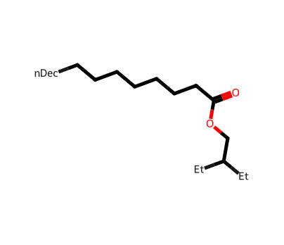 CCCCCCCCCCCCCCCCCC(=O)OCC(CC)CC